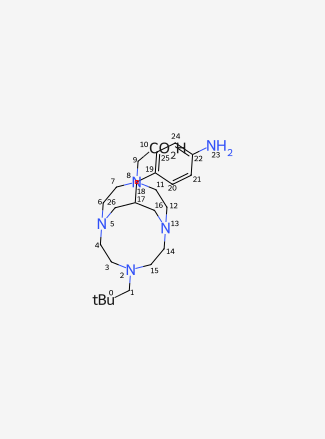 CC(C)(C)CN1CCN2CCN(CC(=O)O)CCN(CC1)CC(Cc1ccc(N)cc1)C2